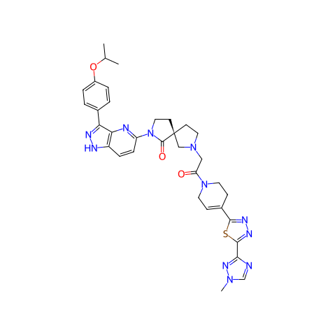 CC(C)Oc1ccc(-c2n[nH]c3ccc(N4CC[C@]5(CCN(CC(=O)N6CC=C(c7nnc(-c8ncn(C)n8)s7)CC6)C5)C4=O)nc23)cc1